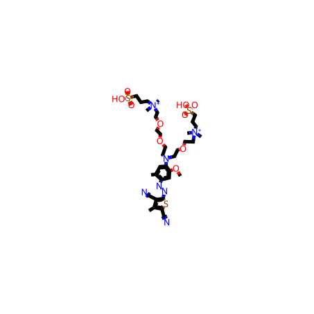 COc1cc(/N=N/c2sc(C#N)c(C)c2C#N)c(C)cc1N(CCOCCOCC[N+](C)(C)CCCS(=O)(=O)O)CCOCC[N+](C)(C)CCCS(=O)(=O)O